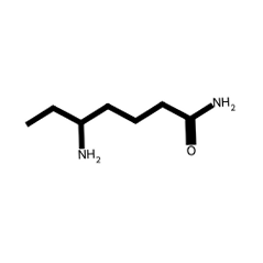 CCC(N)CCCC(N)=O